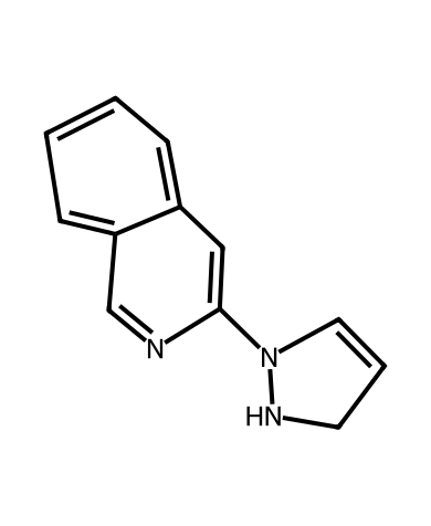 C1=CN(c2cc3ccccc3cn2)NC1